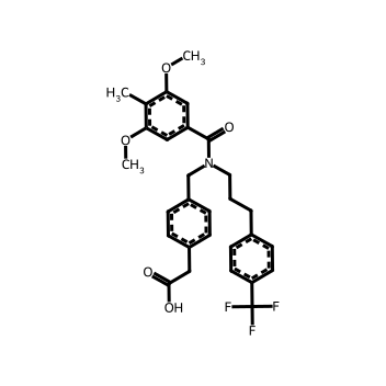 COc1cc(C(=O)N(CCCc2ccc(C(F)(F)F)cc2)Cc2ccc(CC(=O)O)cc2)cc(OC)c1C